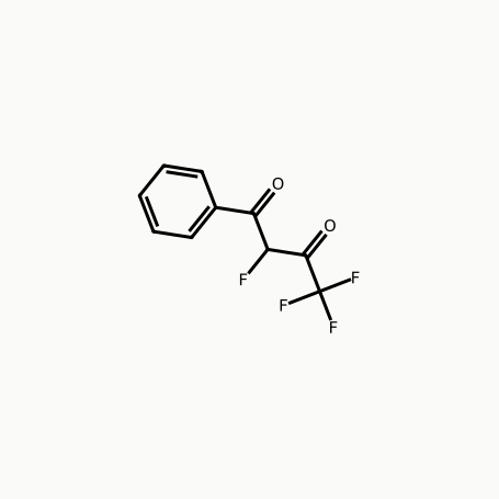 O=C(c1ccccc1)C(F)C(=O)C(F)(F)F